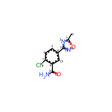 Cc1nc(-c2ccc(Cl)c(C(N)=O)c2)no1